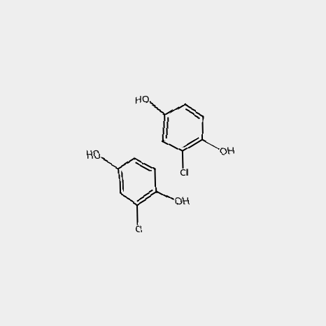 Oc1ccc(O)c(Cl)c1.Oc1ccc(O)c(Cl)c1